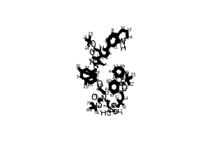 Cc1c(-c2ccc(-c3ccc4c(c3)NCCC4)nc2C(=O)OC(C)(C)C)cnn1CC12CC3(C)CC(C)(C1)CC(OCCN(CCS(O)(O)OCC(C)(C)CCO[Si](c1ccccc1)(c1ccccc1)C(C)(C)C)C(=O)OC(C)(C)C)(C3)C2